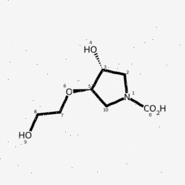 O=C(O)N1C[C@@H](O)[C@H](OCCO)C1